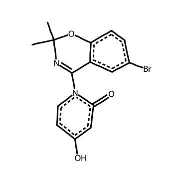 CC1(C)N=C(n2ccc(O)cc2=O)c2cc(Br)ccc2O1